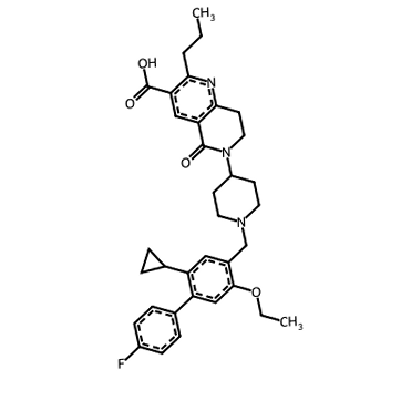 CCCc1nc2c(cc1C(=O)O)C(=O)N(C1CCN(Cc3cc(C4CC4)c(-c4ccc(F)cc4)cc3OCC)CC1)CC2